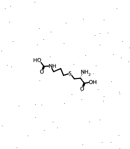 N[C@@H](CSCCCNC(=O)O)C(=O)O